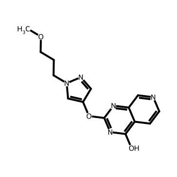 COCCCn1cc(Oc2nc(O)c3ccncc3n2)cn1